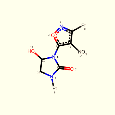 CCc1noc(N2C(=O)N(CC)CC2O)c1[N+](=O)[O-]